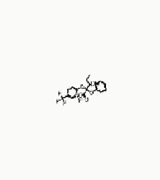 CCC(O)C(Oc1ccccc1)(Oc1ccc(C(F)(F)F)cn1)C(=O)O